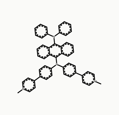 C[n+]1ccc(-c2ccc(N(c3ccc(-c4cc[n+](C)cc4)cc3)c3c4ccccc4c(N(c4ccccc4)c4ccccc4)c4ccccc34)cc2)cc1